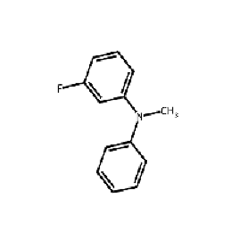 CN(c1ccccc1)c1cccc(F)c1